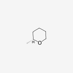 C[C@@H]1CCCCO1